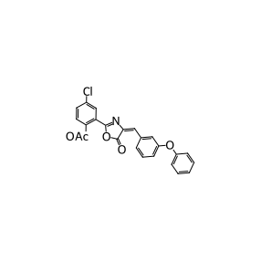 CC(=O)Oc1ccc(Cl)cc1C1=NC(=Cc2cccc(Oc3ccccc3)c2)C(=O)O1